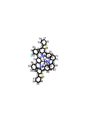 CC(C)(c1c(-n2c3ccccc3c3c4sc5ccccc5c4ccc32)c(-c2ccccc2F)cc(-c2ccccc2F)c1-n1c2ccccc2c2c3sc4ccccc4c3ccc21)n1c2ccccc2c2ccccc21